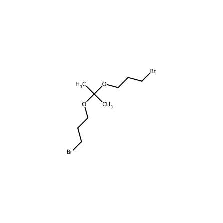 CC(C)(OCCCBr)OCCCBr